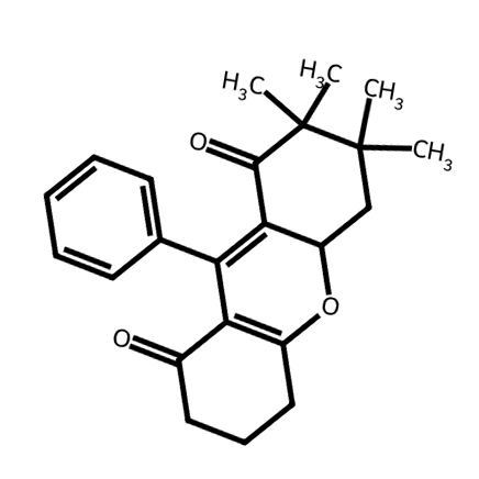 CC1(C)CC2OC3=C(C(=O)CCC3)C(c3ccccc3)=C2C(=O)C1(C)C